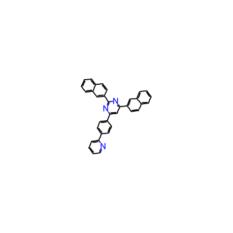 c1ccc(-c2ccc(-c3cc(-c4ccc5ccccc5c4)nc(-c4ccc5ccccc5c4)n3)cc2)nc1